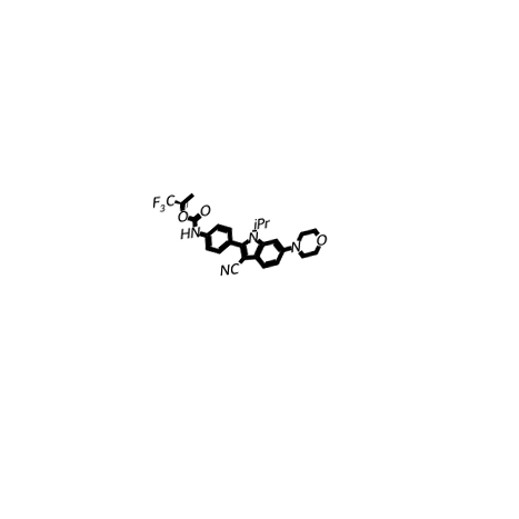 CC(C)n1c(-c2ccc(NC(=O)O[C@H](C)C(F)(F)F)cc2)c(C#N)c2ccc(N3CCOCC3)cc21